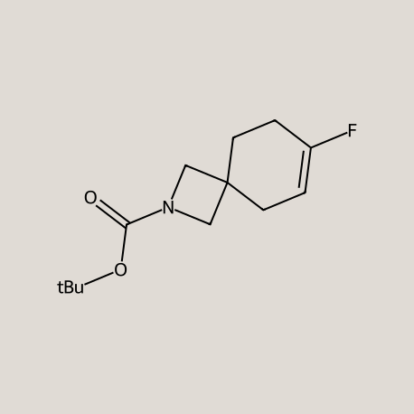 CC(C)(C)OC(=O)N1CC2(CC=C(F)CC2)C1